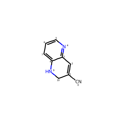 N#CC1=Cc2ncccc2NC1